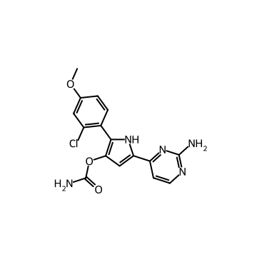 COc1ccc(-c2[nH]c(-c3ccnc(N)n3)cc2OC(N)=O)c(Cl)c1